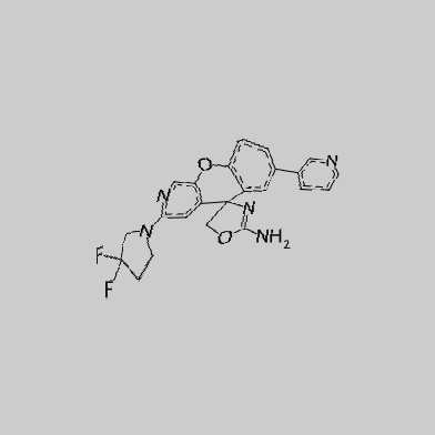 NC1=NC2(CO1)c1cc(-c3cccnc3)ccc1Oc1cnc(N3CCC(F)(F)C3)cc12